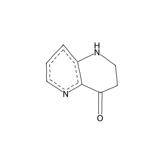 O=C1CCNc2cccnc21